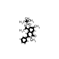 C/C(=N/[S@+]([O-])C(C)(C)C)c1cc(C)cc2c(=O)n(C)c(-c3ccccc3)cc12